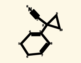 N#CC1(C2=C[CH]CC=C2)CC1